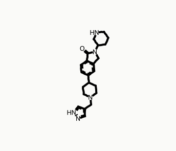 O=C1c2ccc(C3CCN(Cc4cn[nH]c4)CC3)cc2CN1C1CCCNC1